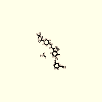 CNC.Cc1c(OCc2cccc(C#N)c2)ccc2c(CCC3CCN(C(=O)OC(C)(C)C)CC3)noc12